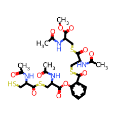 COC(=O)C(CSC(=O)C(CSC(=O)c1ccccc1OC(=O)C(CSC(=O)C(CS)NC(C)=O)NC(C)=O)NC(C)=O)NC(C)=O